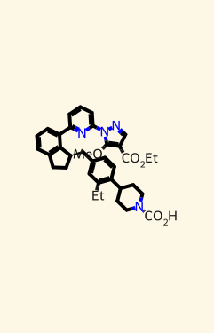 CCOC(=O)c1cnn(-c2cccc(-c3cccc4c3[C@@H](Cc3ccc(C5CCN(C(=O)O)CC5)c(CC)c3)CC4)n2)c1OC